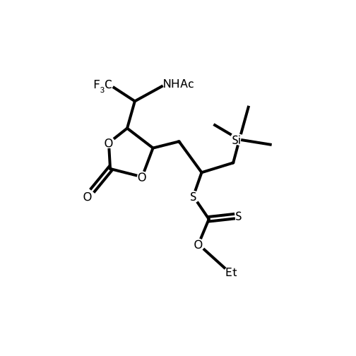 CCOC(=S)SC(CC1OC(=O)OC1C(NC(C)=O)C(F)(F)F)C[Si](C)(C)C